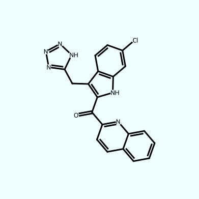 O=C(c1ccc2ccccc2n1)c1[nH]c2cc(Cl)ccc2c1Cc1nnn[nH]1